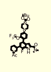 CC(=O)N1CCC=C(c2cc(-c3ccc(N4CCN(C(=O)OC(C)(C)C)CC4)cc3OC(F)(F)F)c3cc(C(=O)N(C)C)[nH]c3c2F)C1